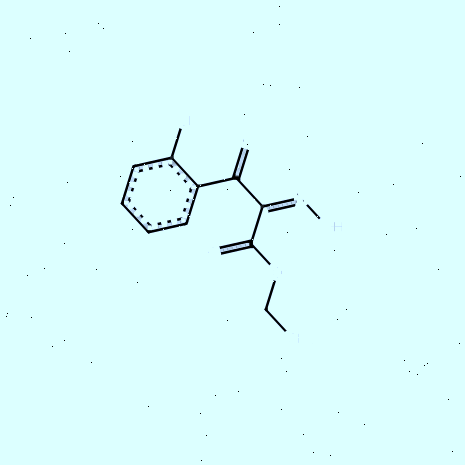 CCOC(=O)/C(=N\O)C(=O)c1ccccc1C